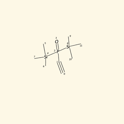 C#CP(=O)([Si](C)(C)C)[Si](C)(C)C